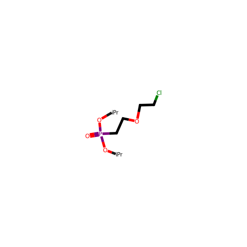 CC(C)OP(=O)(CCOCCCl)OC(C)C